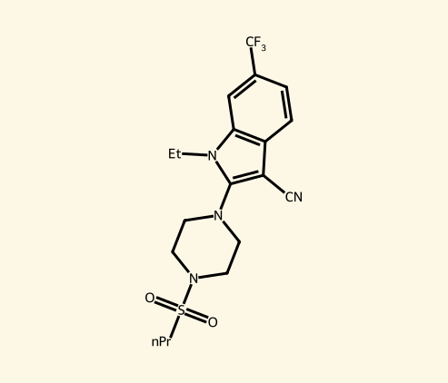 CCCS(=O)(=O)N1CCN(c2c(C#N)c3ccc(C(F)(F)F)cc3n2CC)CC1